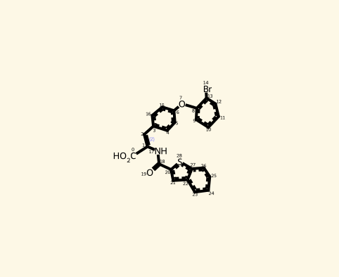 O=C(O)/C(=C/c1ccc(Oc2ccccc2Br)cc1)NC(=O)c1cc2ccccc2s1